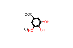 O=C([O-])c1cc(O)c(O)c(O)c1.[Cs+]